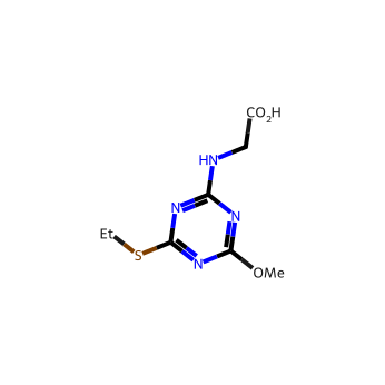 CCSc1nc(NCC(=O)O)nc(OC)n1